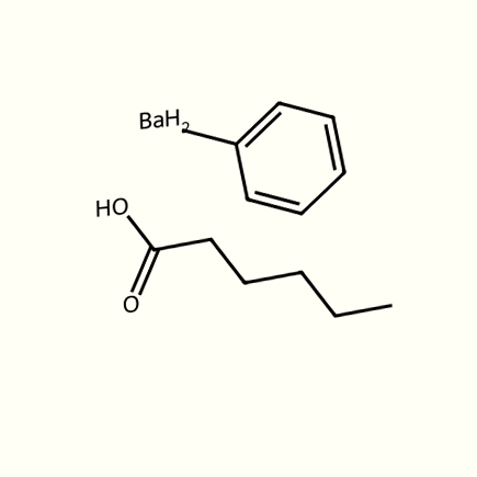 CCCCCC(=O)O.Cc1ccccc1.[BaH2]